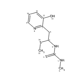 CNC(=S)NC(Cc1ncccc1O)SC